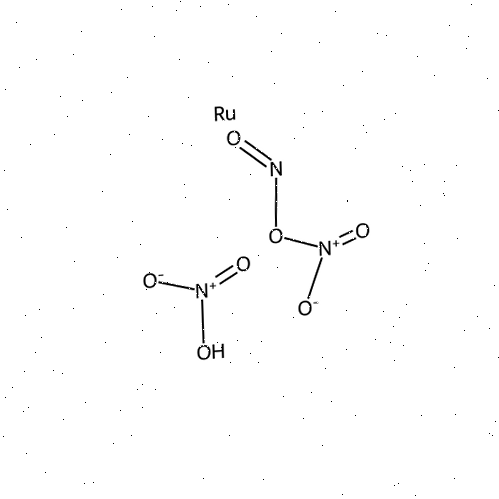 O=NO[N+](=O)[O-].O=[N+]([O-])O.[Ru]